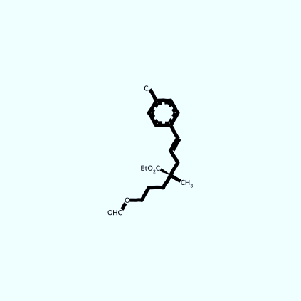 CCOC(=O)[C@](C)(C/C=C/c1ccc(Cl)cc1)CCCOC=O